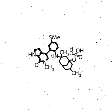 CSc1ccc(NC2(C)CC3CC(C)CC(OP(=O)(O)O)(C3)C2)c(-c2cn(C)c(=O)c3[nH]ccc23)c1